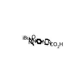 CCC(C)n1nc(C)n(-c2ccc(N3CCCN(C(=O)O)CC3)cc2)c1=O